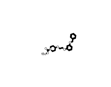 CC(C)(C)OC(=O)N1CCC(OCCOc2cccc(OCc3ccccc3)c2)CC1